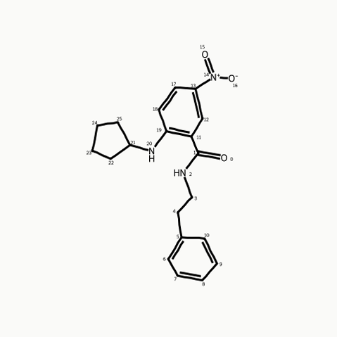 O=C(NCCc1ccccc1)c1cc([N+](=O)[O-])ccc1NC1CCCC1